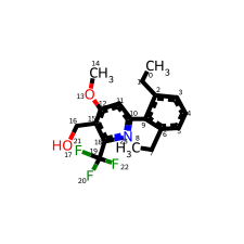 CCc1cccc(CC)c1-c1cc(OC)c(CO)c(C(F)(F)F)n1